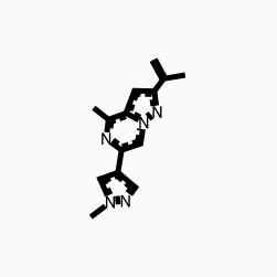 C=C(C)c1cc2c(C)nc(-c3cnn(C)c3)cn2n1